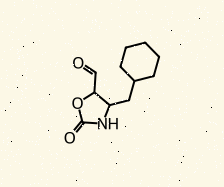 O=CC1OC(=O)NC1CC1CCCCC1